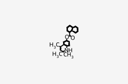 CC1=CC(C)(C)Nc2ccc(OC(=O)c3cccc4ccccc34)cc21